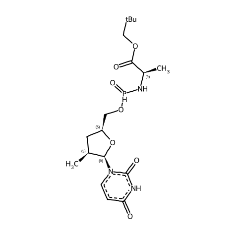 C[C@@H](N[PH](=O)OC[C@@H]1C[C@H](C)[C@H](n2ccc(=O)[nH]c2=O)O1)C(=O)OCC(C)(C)C